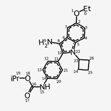 CCOc1ccc2c(c1)c(N)c(-c1ccc(NC(=O)OC(C)C)cc1)n2C1CCC1